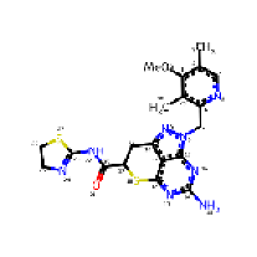 COc1c(C)cnc(Cn2nc3c4c(nc(N)nc42)SC(C(=O)NC2=NCCS2)C3)c1C